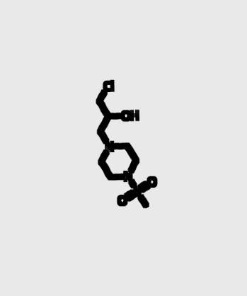 CS(=O)(=O)N1CCN(CC(O)CCl)CC1